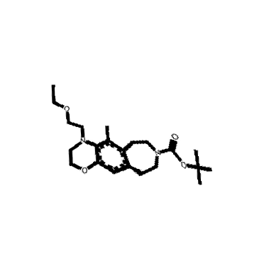 CCOCCN1CCOc2cc3c(c(C)c21)CCN(C(=O)OC(C)(C)C)CC3